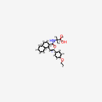 CCOc1ccc(/C=C/c2c(C(=O)NC(C)(C)C(=O)O)ccc3ccccc23)cc1